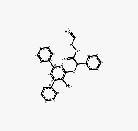 C=CCOC(=O)C(Oc1nc(-c2ccccc2)cc(-c2ccccc2)c1N)c1ccccc1